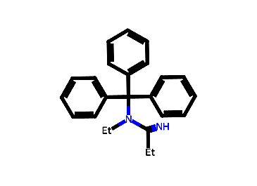 CCC(=N)N(CC)C(c1ccccc1)(c1ccccc1)c1ccccc1